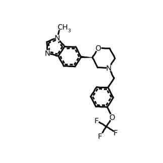 Cn1cnc2ccc([C@@H]3CN(Cc4cccc(OC(F)(F)F)c4)CCO3)cc21